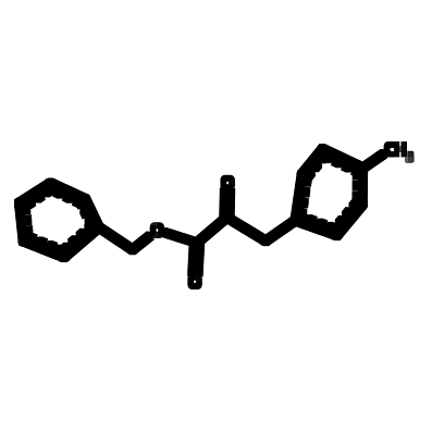 Cc1ccc(CC(=O)C(=O)OCc2ccccc2)cc1